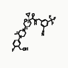 C[C@H]1CN([C@@H]2CC[C@@](C(=O)NCc3cc(C#N)cc(C(F)(F)F)c3)(C3CC3)OC2)CCN1c1ccc(F)c(CO)c1